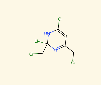 ClCC1=NC(Cl)(CCl)NC(Cl)=C1